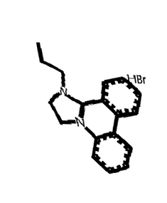 Br.CCCN1CCN2c3ccccc3-c3ccccc3C12